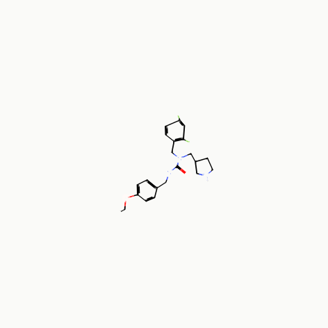 CN1CCC(CN(Cc2ccc(F)cc2F)C(=O)NCc2ccc(OCC(F)(F)F)cc2)C1